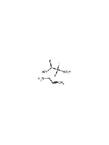 C=CCN.CCCC(F)C(F)(F)S(=O)(=O)O